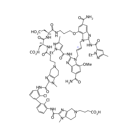 CCn1nc(C)cc1C(=O)Nc1nc2cc(C(N)=O)cc(OC)c2n1C/C=C/Cn1c(NC(=O)c2cc(C)nn2CC)nc2cc(C(N)=O)cc(OCCCNC(=O)[C@H](CC(=O)O)NC(=O)[C@H](CC(=O)O)NC(=O)CCCN3CCc4c(nc(C(=O)Nc5cccc(-c6cccc(NC(=O)c7nc8c(n7C)CCN(CCCC(=O)O)C8)c6Cl)c5Cl)n4C)C3)c21